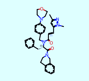 Cc1cc(/C=C/C(=O)N(Cc2ccc(N3CCOCC3)cc2)[C@@H](Cc2ccccc2)C(=O)N2CCc3ccccc3C2)n(C)n1